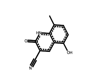 Cc1ccc(O)c2cc(C#N)c(=O)[nH]c12